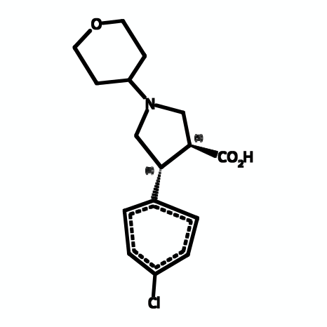 O=C(O)[C@@H]1CN(C2CCOCC2)C[C@H]1c1ccc(Cl)cc1